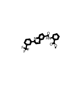 COC(=O)c1ccccc1NC(=O)c1ccc2nc(-c3cccc(C(F)(F)F)c3)ccc2c1